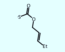 CCC=CCOC(=O)[S]